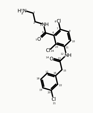 NCCNC(=O)c1c(Cl)ccc(NC(=O)Cc2cccc(Cl)c2)c1Cl